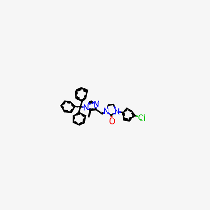 Cc1c(CN2CCN(c3ccc(Cl)cc3)C2=O)ncn1C(c1ccccc1)(c1ccccc1)c1ccccc1